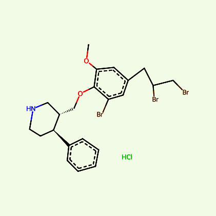 COc1cc(CC(Br)CBr)cc(Br)c1OC[C@H]1CNCC[C@@H]1c1ccccc1.Cl